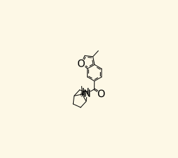 Cc1coc2cc(C(=O)N3CC4CCC3[C@@H]4C)ccc12